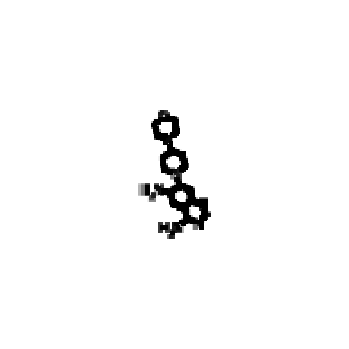 Nc1cc2c(N)ncnc2cc1N1CCC(N2CCOCC2)CC1